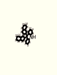 c1ccc2c(c1)Nc1ccccc1C2(c1ccc2ccccc2c1)c1ccc2ccccc2c1